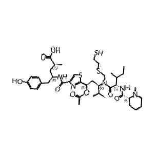 CCC(C)[C@H](NC(=O)[C@H]1CCCCN1C)C(=O)N(CSCCS)[C@H](C[C@@H](OC(C)=O)c1nc(C(=O)N[C@@H](Cc2ccc(O)cc2)C[C@H](C)C(=O)O)cs1)C(C)C